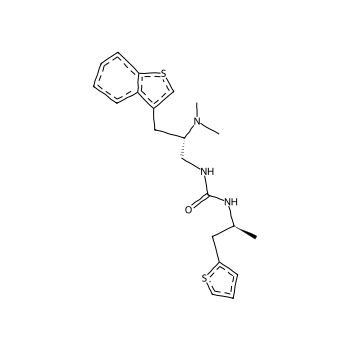 C[C@@H](Cc1cccs1)NC(=O)NC[C@H](Cc1csc2ccccc12)N(C)C